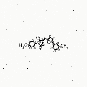 Cc1ccc(N2C(=O)/C(=C/c3ccc(-c4cccc(C(F)(F)F)c4)o3)SC2=S)cc1